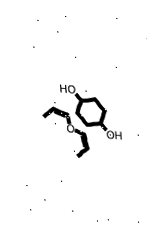 C/C=C\O/C=C\C.OC1CCC(O)CC1